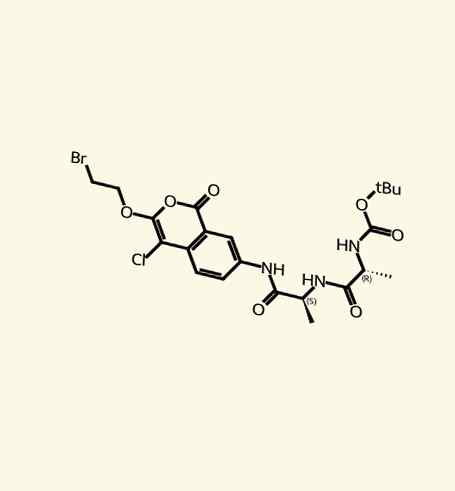 C[C@H](NC(=O)[C@@H](C)NC(=O)OC(C)(C)C)C(=O)Nc1ccc2c(Cl)c(OCCBr)oc(=O)c2c1